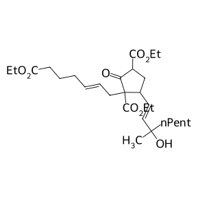 CCCCCC(C)(O)/C=C/C1CC(C(=O)OCC)C(=O)C1(C/C=C/CCCC(=O)OCC)C(=O)OCC